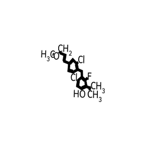 C=C(/C=C/c1cc(Cl)c(Cc2ccc(O)c(C(C)C)c2F)c(Cl)c1)OC